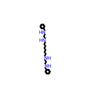 c1ccc(CNCCCNCCCCCCCCNCCCNCc2ccccc2)cc1